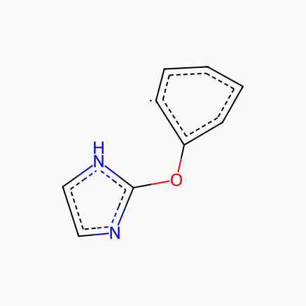 [c]1ccccc1Oc1ncc[nH]1